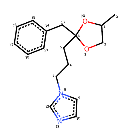 CC1COC(CCCn2ccnc2)(Cc2ccccc2)O1